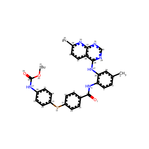 Cc1ccc(NC(=O)c2ccc(Sc3ccc(NC(=O)OC(C)(C)C)cc3)cc2)c(Nc2ncnc3nc(C(C)C)ccc23)c1